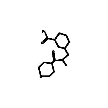 CC(C)C(=O)N1CCCC(CC(C)C(=O)N2CCOCC2)C1